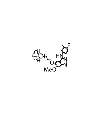 COc1cc2ncnc(Nc3ccc(F)c(C)c3)c2cc1OCCCN1C[C@H]2OCCO[C@@H]2C1